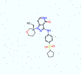 N#CC[C@@]1(n2nc(Nc3ccc(S(=O)(=O)C4CCCC4)cc3)c3c(=O)[nH]ccc32)CCCOC1